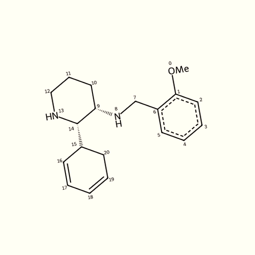 COc1ccccc1CN[C@H]1CCCN[C@H]1C1C=CC=CC1